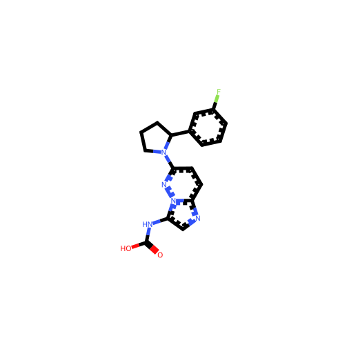 O=C(O)Nc1cnc2ccc(N3CCCC3c3cccc(F)c3)nn12